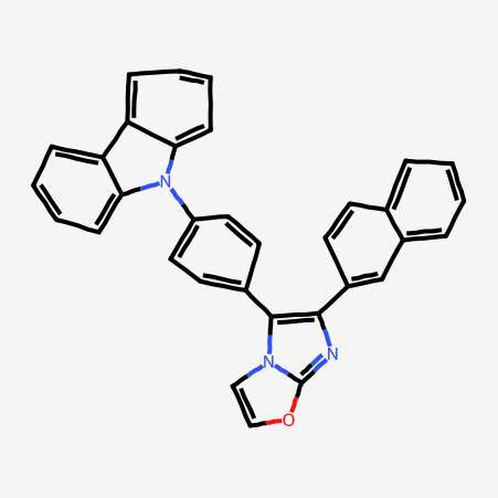 c1ccc2cc(-c3nc4occn4c3-c3ccc(-n4c5ccccc5c5ccccc54)cc3)ccc2c1